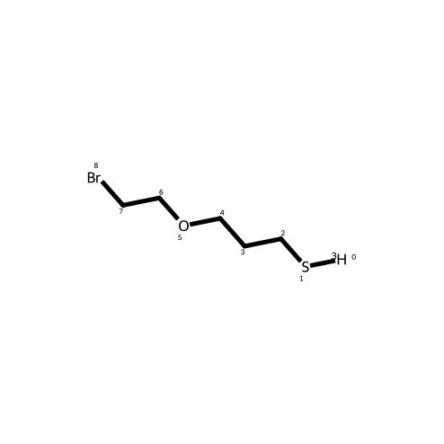 [3H]SCCCOCCBr